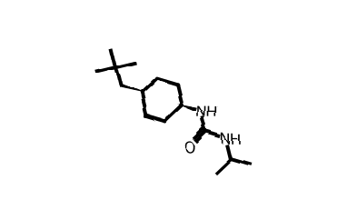 CC(C)NC(=O)N[C@H]1CC[C@@H](CC(C)(C)C)CC1